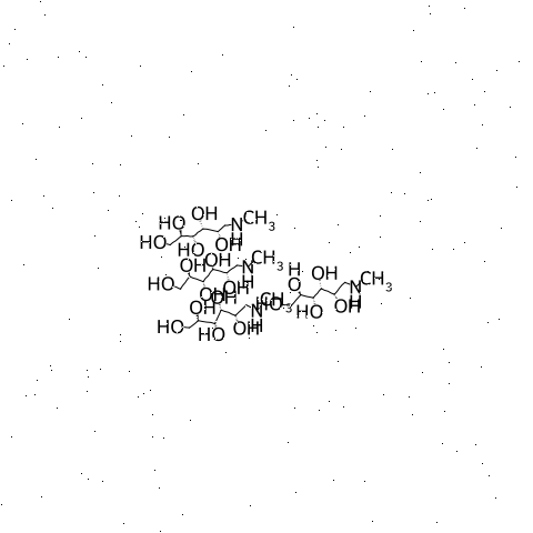 CNC[C@H](O)[C@@H](O)[C@H](O)[C@H](O)CO.CNC[C@H](O)[C@@H](O)[C@H](O)[C@H](O)CO.CNC[C@H](O)[C@@H](O)[C@H](O)[C@H](O)CO.CNC[C@H](O)[C@@H](O)[C@H](O)[C@H](O)CO